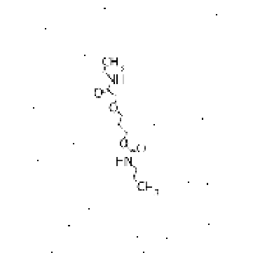 CCCNC(=O)OCCCOCC(=O)NCC